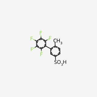 Cc1ccc(S(=O)(=O)O)cc1-c1c(F)c(F)c(F)c(F)c1F